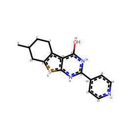 CC1CCc2c(sc3nc(-c4ccncc4)nc(O)c23)C1